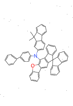 CC1(C)c2ccccc2-c2ccc(N(c3ccc(-c4ccccc4)cc3)c3c4c(cc5c3oc3ccccc35)C3(c5ccccc5-c5ccccc53)c3ccccc3-4)cc21